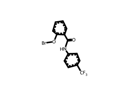 O=C(Nc1ccc(C(F)(F)F)cc1)c1ccccc1OBr